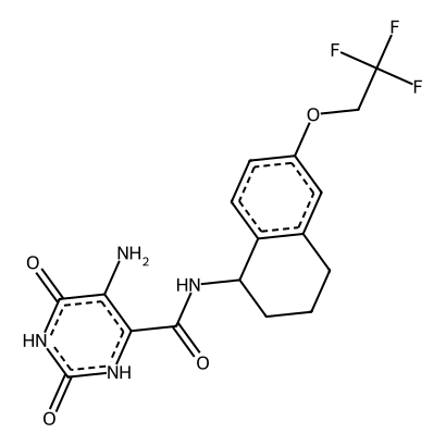 Nc1c(C(=O)NC2CCCc3cc(OCC(F)(F)F)ccc32)[nH]c(=O)[nH]c1=O